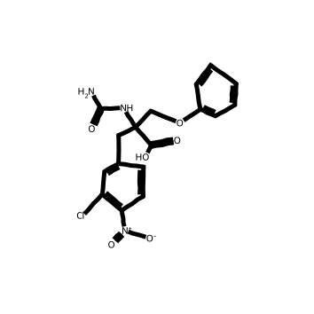 NC(=O)NC(COc1ccccc1)(Cc1ccc([N+](=O)[O-])c(Cl)c1)C(=O)O